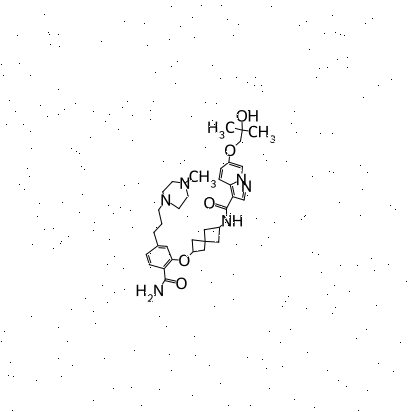 CN1CCN(CCCc2ccc(C(N)=O)c(OC3CC4(CC(NC(=O)c5cnn6cc(OCC(C)(C)O)ccc56)C4)C3)c2)CC1